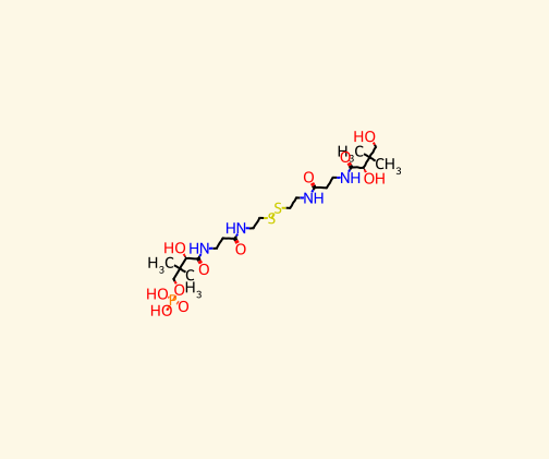 CC(C)(CO)[C@@H](O)C(=O)NCCC(=O)NCCSSCCNC(=O)CCNC(=O)[C@H](O)C(C)(C)COP(=O)(O)O